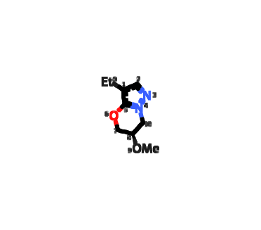 CCc1cnn2c1OC[C@H](OC)C2